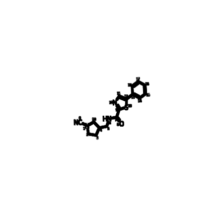 N#CN1CCC(CNC(=O)c2ncc(-c3ccccc3)s2)C1